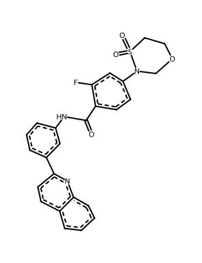 O=C(Nc1cccc(-c2ccc3ccccc3n2)c1)c1ccc(N2COCCS2(=O)=O)cc1F